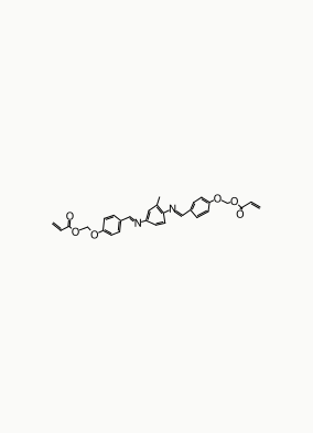 C=CC(=O)OCOc1ccc(C=Nc2ccc(N=Cc3ccc(OCOC(=O)C=C)cc3)c(C)c2)cc1